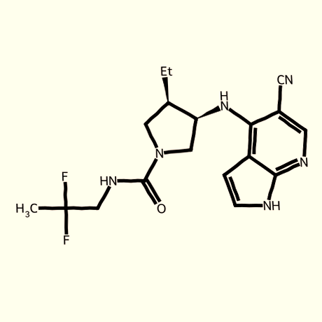 CC[C@@H]1CN(C(=O)NCC(C)(F)F)C[C@@H]1Nc1c(C#N)cnc2[nH]ccc12